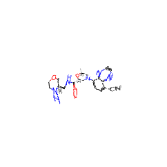 C[C@@H]1CN(c2ccc(C#N)c3nccnc23)C[C@H](C(=O)NC[C@@H]2COCCN2)O1